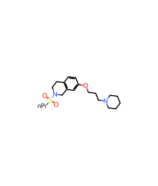 CCCS(=O)(=O)N1CCc2ccc(OCCCN3CCCCC3)cc2C1